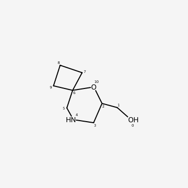 OCC1CNCC2(CCC2)O1